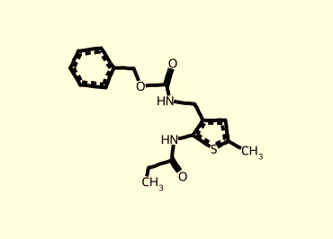 CCC(=O)Nc1sc(C)cc1CNC(=O)OCc1ccccc1